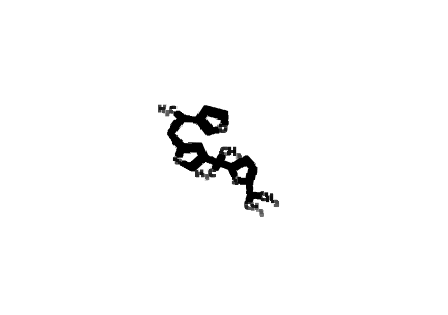 CC(C)c1ccc(C(C)(C)c2csc(CC(C)c3ccoc3)c2)s1